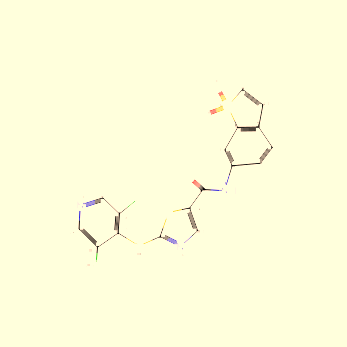 O=C(Nc1ccc2c(c1)S(=O)(=O)C=C2)c1cnc(Sc2c(Cl)cncc2Cl)s1